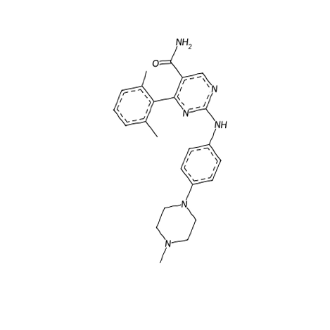 Cc1cccc(C)c1-c1nc(Nc2ccc(N3CCN(C)CC3)cc2)ncc1C(N)=O